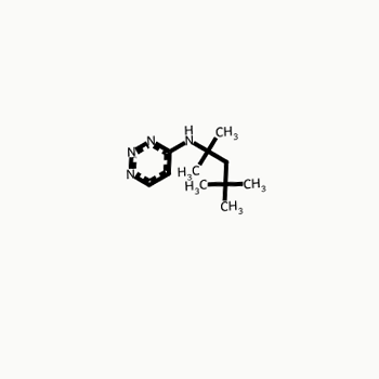 CC(C)(C)CC(C)(C)Nc1ccnnn1